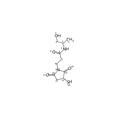 CC(CO)NC(=O)CCN1C(=O)CC(S)C1=O